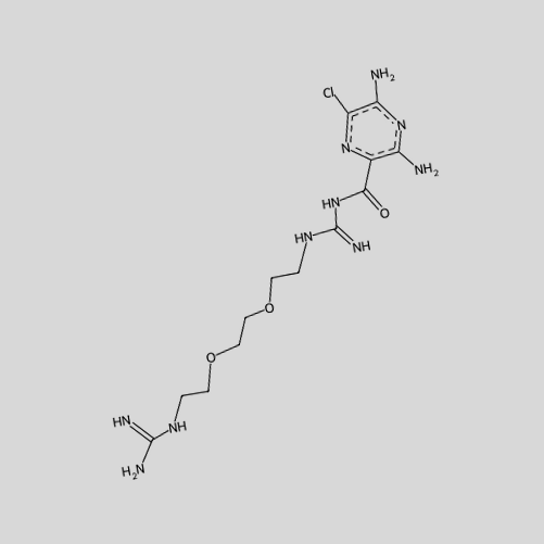 N=C(N)NCCOCCOCCNC(=N)NC(=O)c1nc(Cl)c(N)nc1N